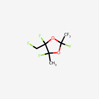 CC1(F)OC(F)(C(F)(F)F)OC1(F)CF